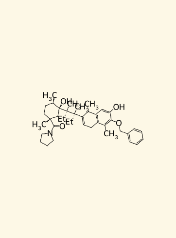 CC[C@](C)([C@](C)(CC)C1=CCc2c(cc(O)c(OCc3ccccc3)c2C)[C@H]1C)[C@]1(O)C[C@](C)(C(=O)N2CCCC2)CC[C@H]1C